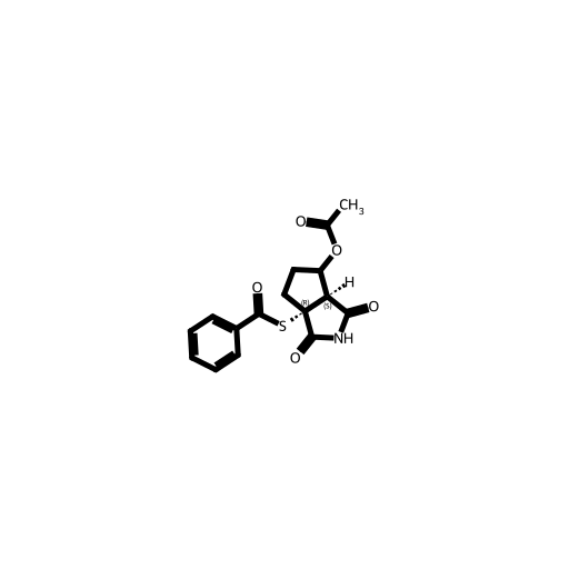 CC(=O)OC1CC[C@]2(SC(=O)c3ccccc3)C(=O)NC(=O)[C@H]12